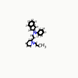 CCCN1CCCCC1CCN(c1ccccc1)C1Cc2ccccc2C1